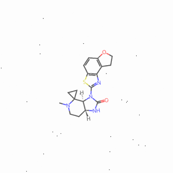 CN1CC[C@H]2NC(=O)N(c3nc4c5c(ccc4s3)OCC5)[C@@H]2C12CC2